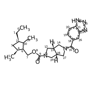 CC[C@@H]1C[C@H](C)C(COC(=O)N2C[C@@H]3CN(C(=O)c4ccc5[nH]nnc5c4)C[C@@H]3C2)C1C